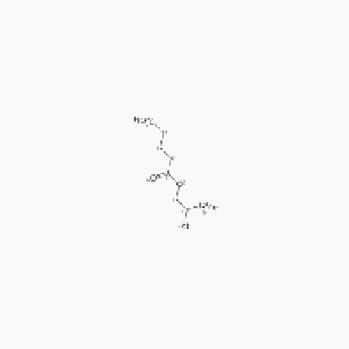 CCC(COC(=O)CCCC(=O)O)OC